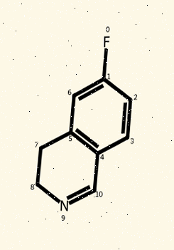 Fc1ccc2c(c1)CCN=C2